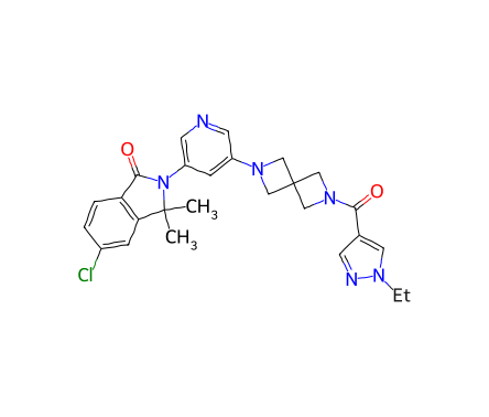 CCn1cc(C(=O)N2CC3(C2)CN(c2cncc(N4C(=O)c5ccc(Cl)cc5C4(C)C)c2)C3)cn1